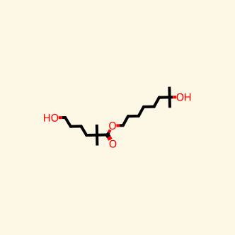 CC(C)(O)CCCCCCOC(=O)C(C)(C)CCCCO